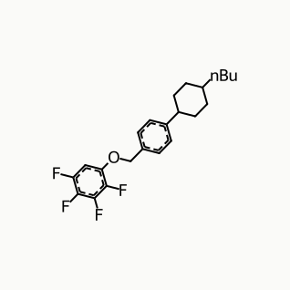 CCCCC1CCC(c2ccc(COc3cc(F)c(F)c(F)c3F)cc2)CC1